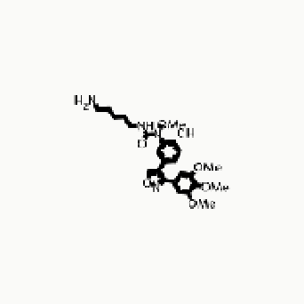 COc1cc(-c2nocc2-c2cccc(N(OC)C(=O)NCCCCCN)c2)cc(OC)c1OC.Cl